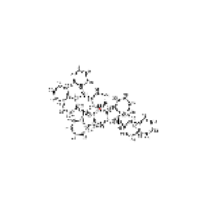 c1ccc(N(c2ccccc2)c2c3ccccc3cc3c4cccc5c6nc7c(nc6n(c23)c45)c2cccc3c4c5ccccc5ccc4n7c23)cc1